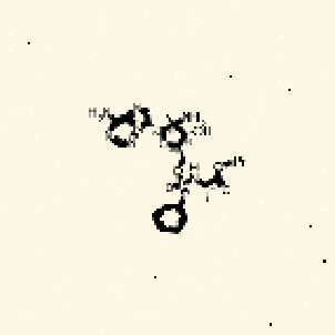 CC(C)OC(=O)[C@H](C)NP(=O)(OC[C@H]1O[C@H](c2cnc3c(N)ncnn23)[C@](C)(N)[C@@H]1O)Oc1ccccc1